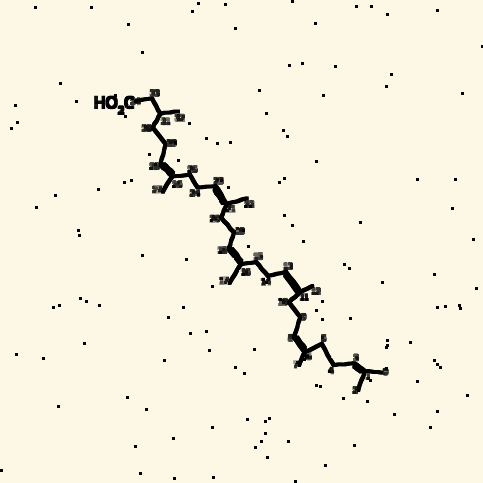 CC(C)=CCCC(C)=CCCC(C)=CCCC(C)=CCCC(C)=CCCC(C)=CCCC(C)CC(=O)O